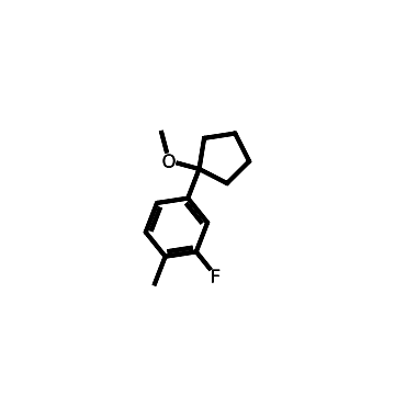 COC1(c2ccc(C)c(F)c2)CCCC1